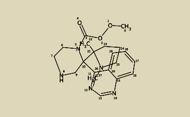 COOC(=O)N1CCNCC1(c1ncnc2ccccc12)C1(C)CCCN1C